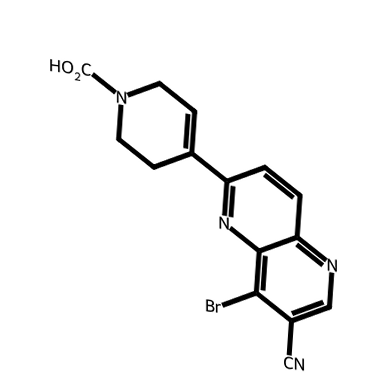 N#Cc1cnc2ccc(C3=CCN(C(=O)O)CC3)nc2c1Br